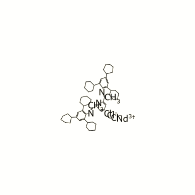 CC(=Nc1c(C2CCCCC2)cc(C2CCCCC2)cc1C1CCCCC1)c1cccc(C(C)=Nc2c(C3CCCCC3)cc(C3CCCCC3)cc2C2CCCCC2)n1.[Cl-].[Cl-].[Cl-].[Nd+3]